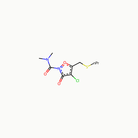 CCCSCc1on(C(=O)N(C)C)c(=O)c1Cl